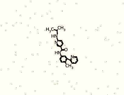 Cc1ccc(NC(=O)c2ccc(NCC(C)C)nc2)cc1-c1ccccn1